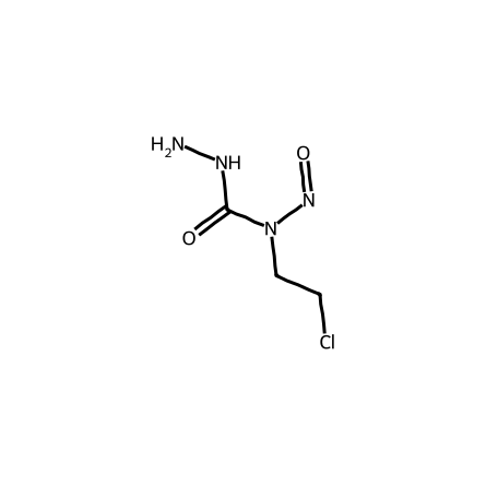 NNC(=O)N(CCCl)N=O